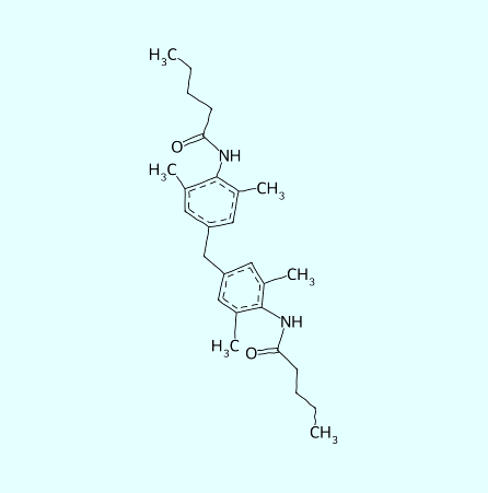 CCCCC(=O)Nc1c(C)cc(Cc2cc(C)c(NC(=O)CCCC)c(C)c2)cc1C